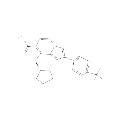 C[C@]1(F)CCC[C@H]1Nc1c(C(N)=O)cnn2cc(-c3ccc(C(F)(F)F)nc3)cc12